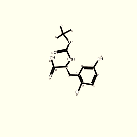 CC(C)(C)OC(=O)N[C@@H](Cc1cc(O)ccc1Cl)C(=O)O